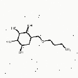 CCCCOCC1CC(O)C(O)C(O)C1O